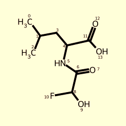 CC(C)CC(NC(=O)C(O)F)C(=O)O